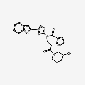 O=C(CCN(C(=O)c1cccs1)c1nc(-c2cc3ccccc3o2)cs1)N1CCCC(O)C1